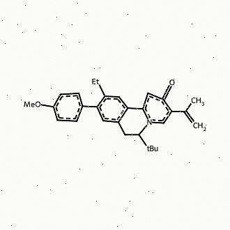 C=C(C)c1cn2c(cc1=O)-c1cc(CC)c(-c3ccc(OC)cc3)cc1CC2C(C)(C)C